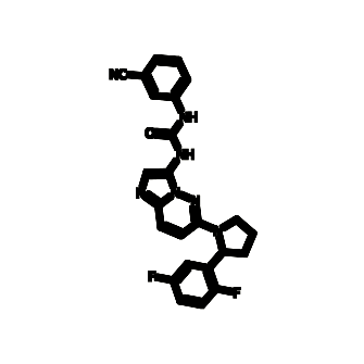 N#Cc1cccc(NC(=O)Nc2cnc3ccc(N4CCCC4c4cc(F)ccc4F)nn23)c1